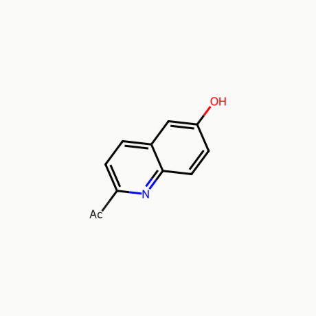 CC(=O)c1ccc2cc(O)ccc2n1